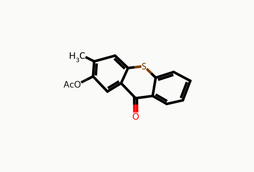 CC(=O)Oc1cc2c(=O)c3ccccc3sc2cc1C